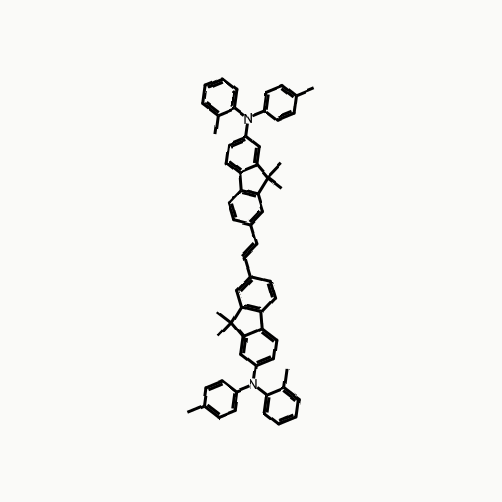 Cc1ccc(N(c2ccc3c(c2)C(C)(C)c2cc(/C=C/c4ccc5c(c4)C(C)(C)c4cc(N(c6ccc(C)cc6)c6ccccc6C)ccc4-5)ccc2-3)c2ccccc2C)cc1